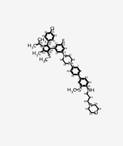 CSc1cc(-c2ccc(N3CCN(c4cc(F)cc(-c5c(SC)c(C)n(C(C)C)c5-c5ccc(Cl)cc5)c4)CC3)cc2)ccc1NCCCN1CCOCC1